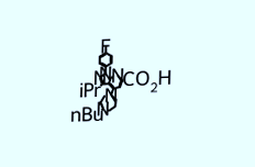 CCCCN1CCCN(c2cc(C(=O)O)nc3c2c(C(C)C)nn3-c2ccc(F)cc2)CC1